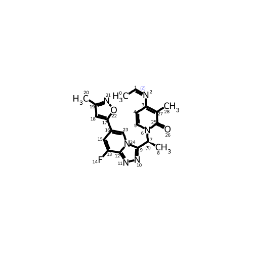 C/C=N\c1ccn([C@@H](C)c2nnc3c(F)cc(-c4cc(C)no4)cn23)c(=O)c1C